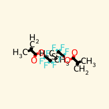 C=C(C)C(=O)OC(F)(F)C(F)(F)[Si](C)(C)C(F)(F)C(F)(F)OC(=O)C(=C)C